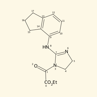 CCOC(=O)C(=O)N1CCN=C1Nc1cccc2c1CCC2